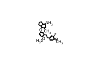 COc1ccc(CCc2cc(Oc3c(C)cc(N)c4c3CCC4)ccc2OC)cc1F